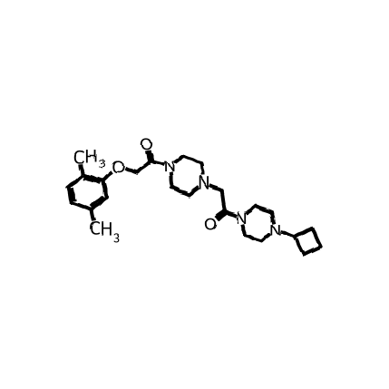 Cc1ccc(C)c(OCC(=O)N2CCN(CC(=O)N3CCN(C4CCC4)CC3)CC2)c1